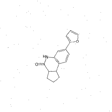 O=C1Nc2cc(-c3ccco3)ccc2C2CCCC12